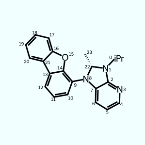 CC(C)N1c2ncccc2N(c2cccc3c2oc2ccccc23)[C@@H]1C